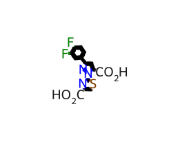 O=C(O)c1csc(-n2nc(-c3ccc(F)c(F)c3)cc2C(=O)O)n1